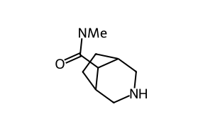 CNC(=O)C1C2CCC1CNC2